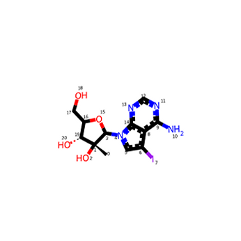 C[C@]1(O)C(n2cc(I)c3c(N)ncnc32)OC(CO)[C@H]1O